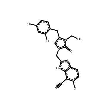 CCn1c(Cc2ccc(Cl)cc2Cl)cn(Cc2nc3ccc(Cl)c(C#N)c3[nH]2)c1=O